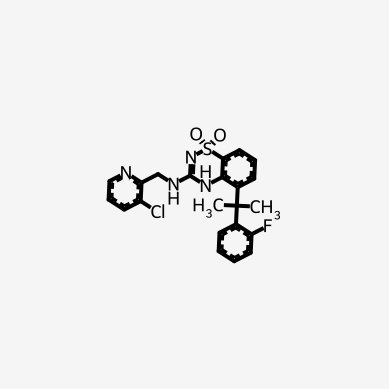 CC(C)(c1ccccc1F)c1cccc2c1NC(NCc1ncccc1Cl)=NS2(=O)=O